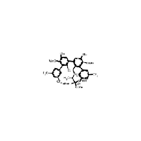 CCCCCC(CCCCC)(OC)[C@H](C)N(C)Cc1c(-c2cc(C(C)(C)C)c(OC)c(-c3cc(C(F)(F)F)cc(C(F)(F)F)c3)c2CC)cc(C(C)(C)C)c(OC)c1-c1cc(C(F)(F)F)cc(C(F)(F)F)c1